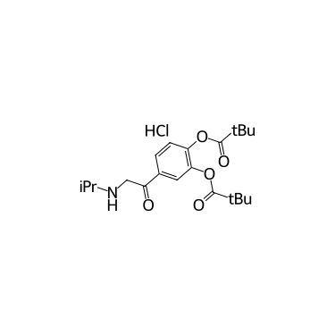 CC(C)NCC(=O)c1ccc(OC(=O)C(C)(C)C)c(OC(=O)C(C)(C)C)c1.Cl